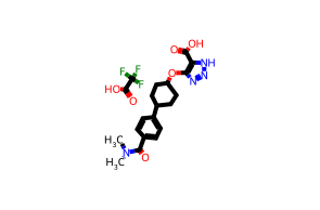 CN(C)C(=O)c1ccc(C2CCC(Oc3nn[nH]c3C(=O)O)CC2)cc1.O=C(O)C(F)(F)F